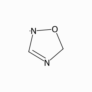 C1=NCO[N]1